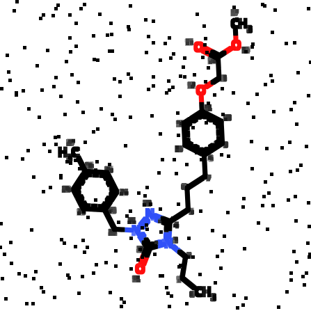 CCCn1c(CCCc2ccc(OCC(=O)OC)cc2)nn(Cc2ccc(C)cc2)c1=O